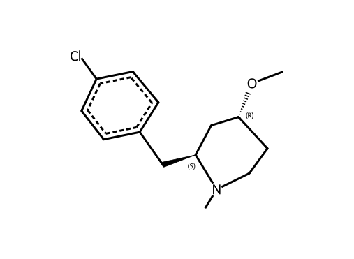 CO[C@@H]1CCN(C)[C@@H](Cc2ccc(Cl)cc2)C1